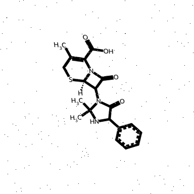 CC1=C(C(=O)O)N2C(=O)C(N3C(=O)C(c4ccccc4)NC3(C)C)[C@H]2SC1